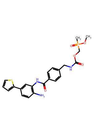 COP(C)(=O)COC(=O)NCc1ccc(C(=O)Nc2cc(-c3cccs3)ccc2N)cc1